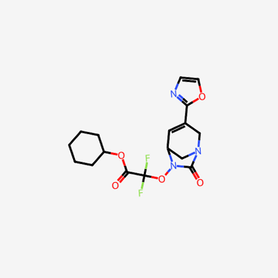 O=C1N2CC(c3ncco3)=CC(C2)N1OC(F)(F)C(=O)OC1CCCCC1